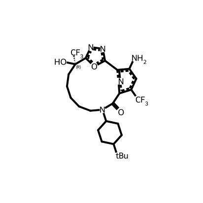 CC(C)(C)C1CCC(N2CCCCC[C@](O)(C(F)(F)F)c3nnc(o3)-c3nc(c(C(F)(F)F)cc3N)C2=O)CC1